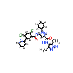 Cc1n[nH]c(C)c1NC(=O)c1cc(NC(=O)c2cc(-c3ccccn3)c(Cl)cc2Cl)n(-c2ccccc2)n1